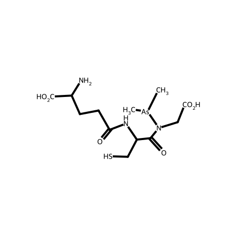 C[As](C)N(CC(=O)O)C(=O)C(CS)NC(=O)CCC(N)C(=O)O